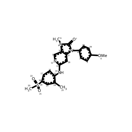 COc1ccc(-n2c(=O)n(C)c3cnc(Nc4ccc(S(C)(=O)=O)cc4C)cc32)cc1